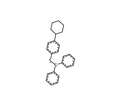 c1ccc([S+](Sc2ccc(C3CCCCC3)cc2)c2ccccc2)cc1